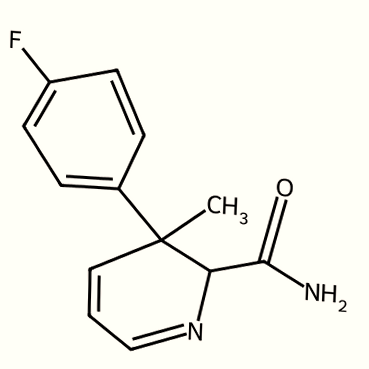 CC1(c2ccc(F)cc2)C=CC=NC1C(N)=O